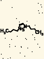 CCCCN1C=CN(CCCC)S1